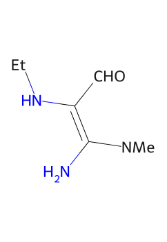 CCN/C(C=O)=C(\N)NC